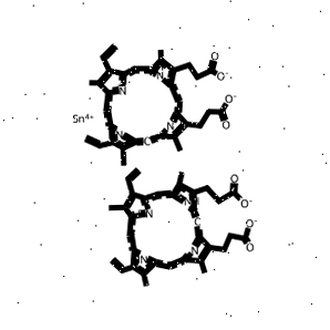 C=CC1=C(C)c2cc3[nH]c(cc4nc(cc5[nH]c(cc1n2)c(C)c5CCC(=O)[O-])C(CCC(=O)[O-])=C4C)c(C)c3C=C.C=CC1=C(C)c2cc3[nH]c(cc4nc(cc5[nH]c(cc1n2)c(C)c5CCC(=O)[O-])C(CCC(=O)[O-])=C4C)c(C)c3C=C.[Sn+4]